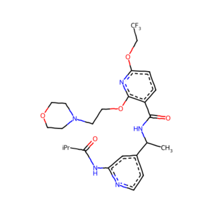 CC(C)C(=O)Nc1cc(C(C)NC(=O)c2ccc(OCC(F)(F)F)nc2OCCN2CCOCC2)ccn1